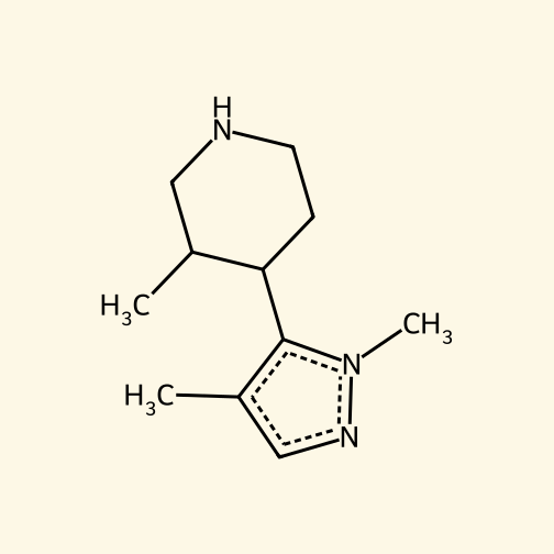 Cc1cnn(C)c1C1CCNCC1C